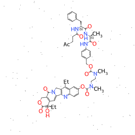 CCc1c2c(nc3ccc(OC(=O)N(C)CCN(C)C(=O)OCc4ccc(NC(=O)[C@H](C)NC(=O)[C@H](Cc5ccccc5)NC(=O)CCC(C)=O)cc4)cc13)-c1cc3c(c(=O)n1C2)COC(=O)[C@]3(O)CC